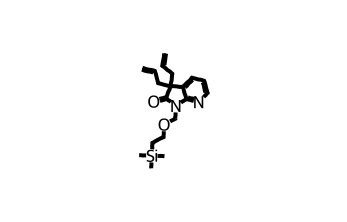 C=CCC1(CC=C)C(=O)N(COCC[Si](C)(C)C)c2ncccc21